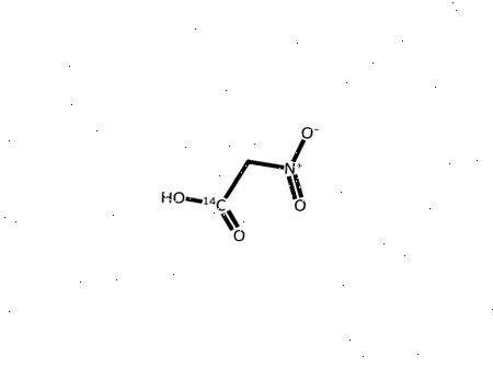 O=[14C](O)C[N+](=O)[O-]